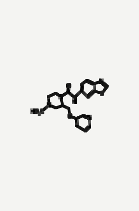 O=C(O)N1CCN(C(=O)Nc2ccc3ncsc3c2)C(COc2cccnc2)C1